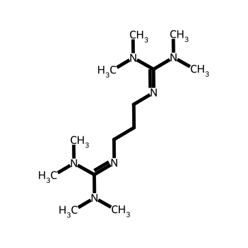 CN(C)C(=NCCCN=C(N(C)C)N(C)C)N(C)C